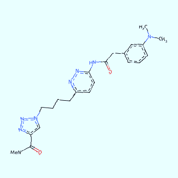 CNC(=O)c1cn(CCCCc2ccc(NC(=O)Cc3cccc(N(C)C)c3)nn2)nn1